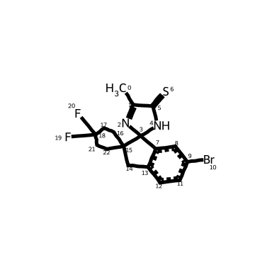 CC1=NC2(NC1=S)c1cc(Br)ccc1CC21CCC(F)(F)CC1